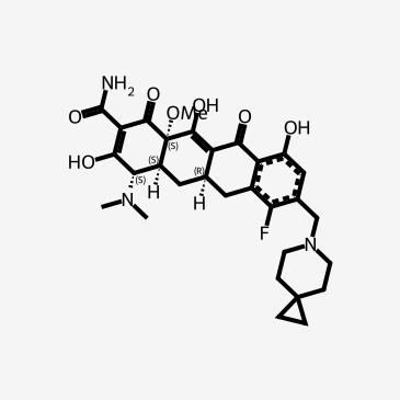 CO[C@@]12C(=O)C(C(N)=O)=C(O)[C@@H](N(C)C)[C@@H]1C[C@@H]1Cc3c(F)c(CN4CCC5(CC4)CC5)cc(O)c3C(=O)C1=C2O